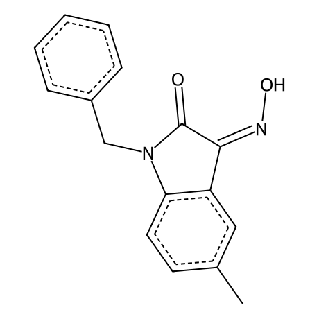 Cc1ccc2c(c1)/C(=N/O)C(=O)N2Cc1ccccc1